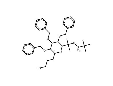 CC(C)(C)[SiH2]OC(C)(C)C1OC(CCCO)C(OCc2ccccc2)C(OCc2ccccc2)C1OCc1ccccc1